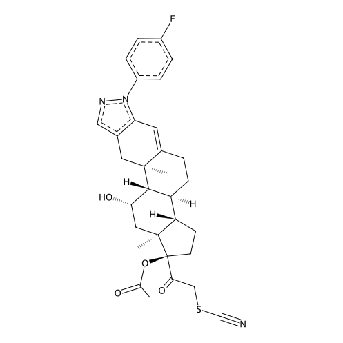 CC(=O)O[C@]1(C(=O)CSC#N)CC[C@H]2[C@@H]3CCC4=Cc5c(cnn5-c5ccc(F)cc5)C[C@]4(C)[C@H]3[C@@H](O)C[C@@]21C